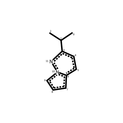 CC(C)c1ccc2cccn2n1